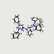 CC1(C)c2ccccc2N(c2cn(-c3cc(-c4ccccc4)nc(-c4ccccc4)n3)c3ccccc23)c2ccccc21